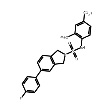 COc1cc(C(=O)O)ccc1NS(=O)(=O)N1Cc2ccc(-c3ccc(F)cc3)cc2C1